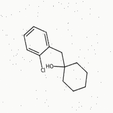 OC1(Cc2cc[c]cc2Cl)CCCCC1